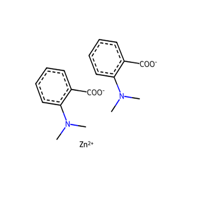 CN(C)c1ccccc1C(=O)[O-].CN(C)c1ccccc1C(=O)[O-].[Zn+2]